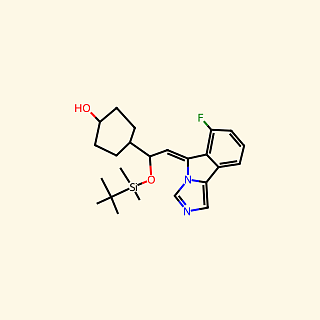 CC(C)(C)[Si](C)(C)OC(/C=c1/c2c(F)cccc2c2cncn12)C1CCC(O)CC1